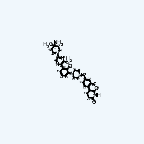 CC1(N)CCN(c2cnc(-c3cccc(N4CCN(Cc5ccc(C6CCC(=O)NC6=O)c(F)c5)CC4)c3Cl)c(N)n2)CC1